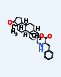 C[C@]12CC[C@]3(CN[C@H](Cc4ccccc4)C(=O)O3)C[C@@H]1CC[C@@H]1[C@@H]2CC[C@]2(C)C(=O)CC[C@@H]12